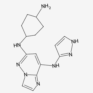 NC1CCC(Nc2cc(Nc3cc[nH]n3)c3nccn3n2)CC1